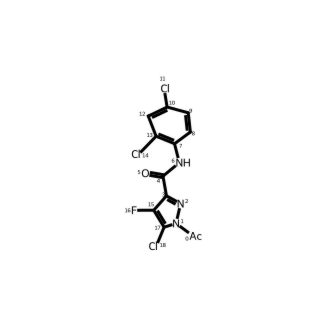 CC(=O)n1nc(C(=O)Nc2ccc(Cl)cc2Cl)c(F)c1Cl